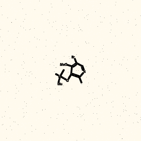 COc1c(Br)cnc(C)c1O[Si](C)(C)C(C)(C)C